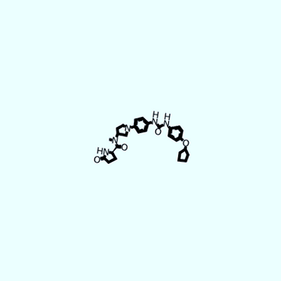 CN(C(=O)[C@H]1CCC(=O)N1)C1CCN(c2ccc(NC(=O)Nc3ccc(OC4CCCC4)cc3)cc2)C1